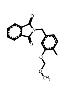 COCOc1cc(CN2C(=O)c3ccccc3C2=O)ccc1I